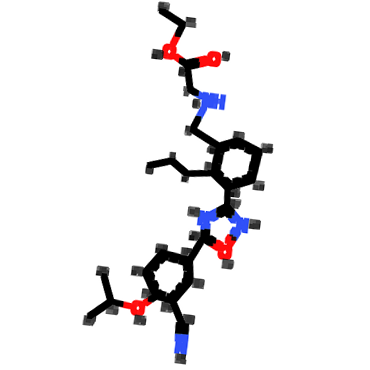 CCCc1c(CNCC(=O)OCC)cccc1-c1noc(-c2ccc(OC(C)C)c(C#N)c2)n1